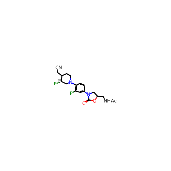 CC(=O)NCC1CN(c2ccc(N3CCC(CC#N)[C@H](F)C3)c(F)c2)C(=O)O1